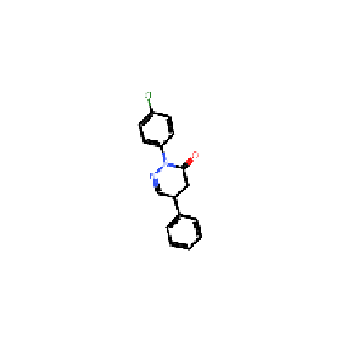 O=C1CC(c2ccccc2)C=NN1c1ccc(Cl)cc1